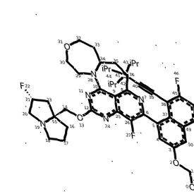 COCOc1cc(-c2nc3c4c(nc(OC[C@@]56CCCN5C[C@H](F)C6)nc4c2F)N2CCOCCC2CC3)c2c(C#C[Si](C(C)C)(C(C)C)C(C)C)c(F)ccc2c1